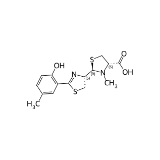 Cc1ccc(O)c(C2=N[C@H]([C@H]3SC[C@H](C(=O)O)N3C)CS2)c1